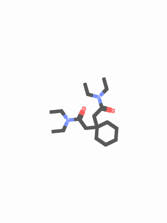 CCN(CC)C(=O)CC1(CC(=O)N(CC)CC)CCCCC1